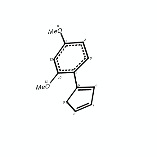 COc1ccc(C2=CC=C[CH]2)c(OC)c1